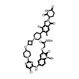 CNC(=O)COc1cc2cc(Nc3nc(N4CCC(O[C@H]5C[C@H](N6CCC(c7c(C)cc8c(c7F)CN(C7CCC(=O)NC7=O)C8=O)CC6)C5)CC4)ncc3Cl)ccc2n(C(C)C)c1=O